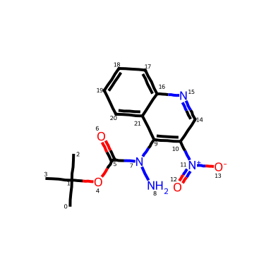 CC(C)(C)OC(=O)N(N)c1c([N+](=O)[O-])cnc2ccccc12